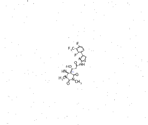 CN1C(=N)/C(=C(\O)CC(=O)Nc2nc(-c3ccc(F)c(C(F)(F)F)c3F)cs2)C(=O)N(C)C1=O